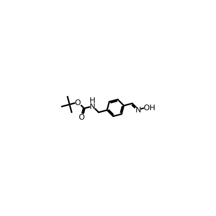 CC(C)(C)OC(=O)NCc1ccc(C=NO)cc1